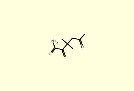 C=C(C(N)=O)C(C)(C)CC(C)=O